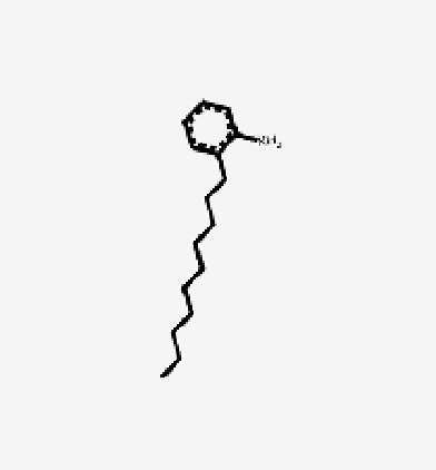 CCCCCCCCCCc1ccccc1N